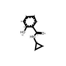 O=C(NC1CC1)c1ccccc1O